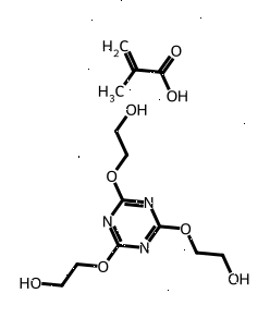 C=C(C)C(=O)O.OCCOc1nc(OCCO)nc(OCCO)n1